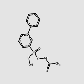 CC(=O)NO[As](=O)(OO)c1cccc(-c2ccccc2)c1